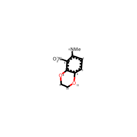 CNc1ccc2c(c1[N+](=O)[O-])OCCO2